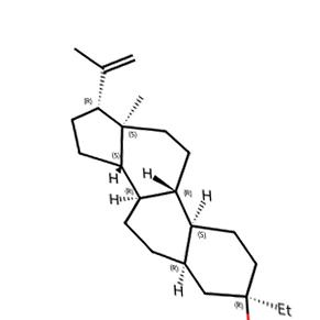 C=C(C)[C@H]1CC[C@H]2[C@@H]3CC[C@@H]4C[C@@](O)(CC)CC[C@@H]4[C@H]3CC[C@]12C